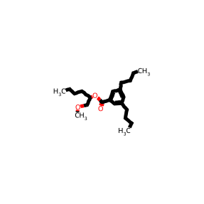 CCCCc1cc(CCCC)cc(C(=O)OC(CCCC)COC)c1